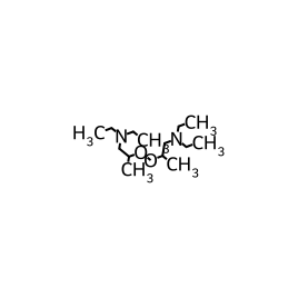 CCN(CC)CC(C)OOC(C)CN(CC)CC